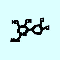 CSc1nc(O)c(C#N)c(-c2ccc(Cl)c(Cl)c2)n1